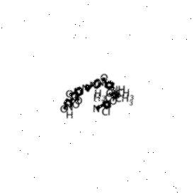 CC1(C)[C@H](Nc2ccc(C(=O)N3CCN(C4CN(c5ccc6c(c5)C(=O)N(C5CCC(=O)NC5=O)C6=O)C4)CC3)cc2)C(C)(C)[C@H]1Oc1ccc(C#N)c(Cl)c1